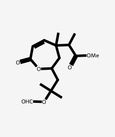 COC(=O)C(C)C1(C)C=CC(=O)OC(CC(C)(C)OC=O)C1